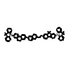 CC1(C)c2cc(/C=C/c3ccc4cc(-c5ccc6c(ccc7cc(N8c9ccccc9C(C)(C)c9ccccc98)ccc76)c5)ccc4c3)ccc2-c2ccc(N3c4ccccc4C(C)(C)c4ccccc43)cc21